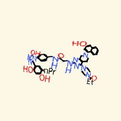 CCCc1cc(-c2nnc(O)n2-c2ccc(CNC(=O)CCNc3nc4c(c(N5CCN(C(=O)CC)CC5)n3)CCN(c3cc(O)cc5ccccc35)C4)cc2)c(O)cc1O